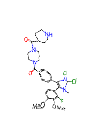 COc1ccc(C2=C(c3ccc(C(=O)N4CCN(C(=O)C5CCNCC5)CC4)cc3)N(Cl)C(Cl)N2C)c(F)c1OC